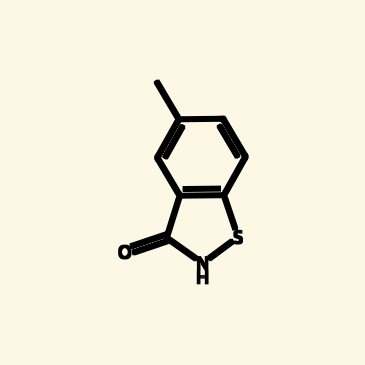 Cc1ccc2s[nH]c(=O)c2c1